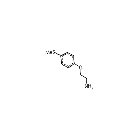 CSc1ccc(OCCN)cc1